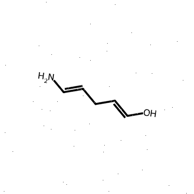 NC=CCC=CO